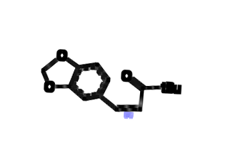 CC(C)(C)C(=O)/C=C\c1ccc2c(c1)OCO2